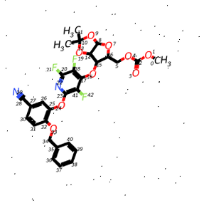 COC(=O)OCC1OC2OC(C)(C)OC2C1Oc1c(F)c(F)nc(Oc2cc(C#N)ccc2OCc2ccccc2)c1F